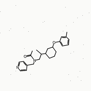 CC(=O)N(Cc1ccncc1)CC(C)C1CCCC(Oc2cccc(C)c2)C1